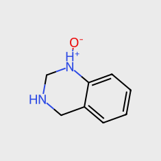 [O-][NH+]1CNCc2ccccc21